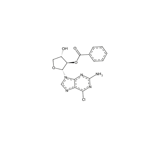 Nc1nc(Cl)c2ncn([C@@H]3OC[C@H](O)[C@H]3OC(=O)c3ccccc3)c2n1